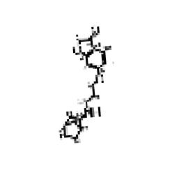 O=C1COc2cc(OCCCNC3CC4CCC3C4)ccc21